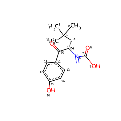 CC(C)(C)C[C@H](NC(=O)O)C(=O)c1ccc(O)cc1